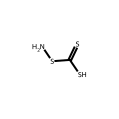 NSC(=S)S